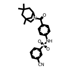 CC1(C)CC2CC(C)(CN2C(=O)c2ccc(NS(=O)(=O)c3cccc(C#N)c3)cc2)C1